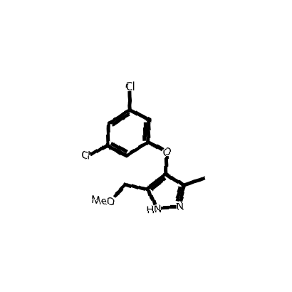 COCc1[nH]nc(C)c1Oc1cc(Cl)cc(Cl)c1